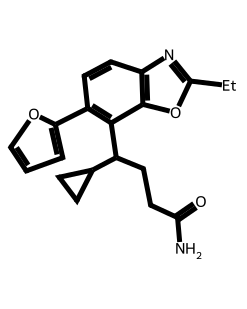 CCc1nc2ccc(-c3ccco3)c(C(CCC(N)=O)C3CC3)c2o1